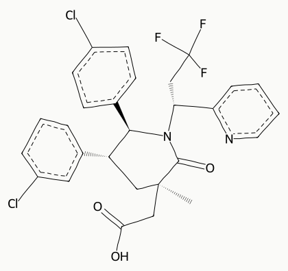 C[C@]1(CC(=O)O)C[C@H](c2cccc(Cl)c2)[C@@H](c2ccc(Cl)cc2)N([C@H](CC(F)(F)F)c2ccccn2)C1=O